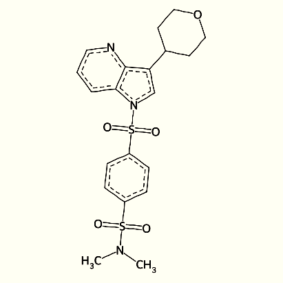 CN(C)S(=O)(=O)c1ccc(S(=O)(=O)n2cc(C3CCOCC3)c3ncccc32)cc1